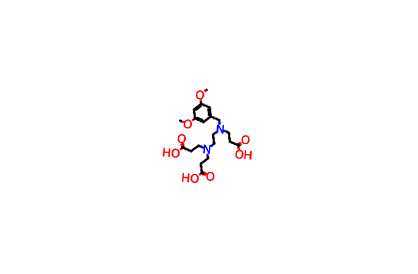 COc1cc(CN(CCC(=O)O)CCN(CCC(=O)O)CCC(=O)O)cc(OC)c1